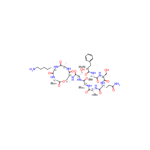 CC[C@H](C)[C@H](NC(=O)[C@@H](Cc1ccccc1)NC)C(=O)N[C@@H](CO)C(=O)N[C@H](CCC(N)=O)C(=O)N[C@@H](C(=O)N[C@H](C(=O)N[C@@H](CO)C(=O)N[C@H]1C(=O)N[C@@H](C)C(=O)N[C@@H](CCCCCN)C(=O)N[C@@H]([C@@H](C)CC)C(=O)O[C@H]1C)[C@@H](C)CC)[C@@H](C)CC